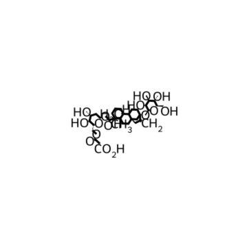 C=C1C[C@@]23CC[C@H]4[C@@](C)(CCC[C@@]4(C)C(=O)O[C@H]4C[C@@H](O)[C@H](O)[C@@H](COC(=O)CC(=O)O)O4)[C@@H]2CC[C@@]1(O[C@@H]1O[C@H](CO)[C@@H](O)[C@H](O)[C@H]1O)C3